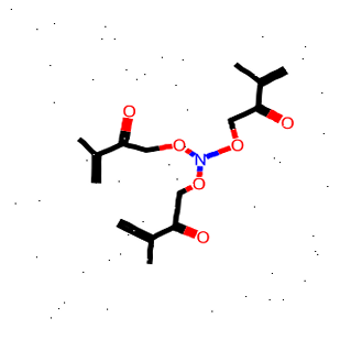 C=C(C)C(=O)CON(OCC(=O)C(=C)C)OCC(=O)C(=C)C